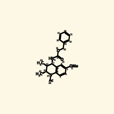 COc1ccc2c(c1)[C@H](NC(=O)OCc1ccccc1)C(C)[C@H](C)N2C(C)=O